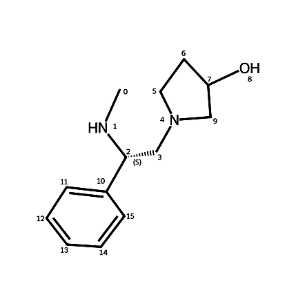 CN[C@H](CN1CCC(O)C1)c1ccccc1